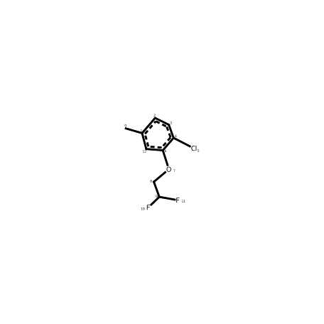 Cc1ccc(Cl)c(OCC(F)F)c1